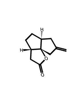 C=C1C[C@@H]2CC[C@H]3CC(=O)O[C@@]23C1